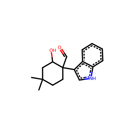 CC1(C)CCC(C=O)(c2c[nH]c3ccccc23)C(O)C1